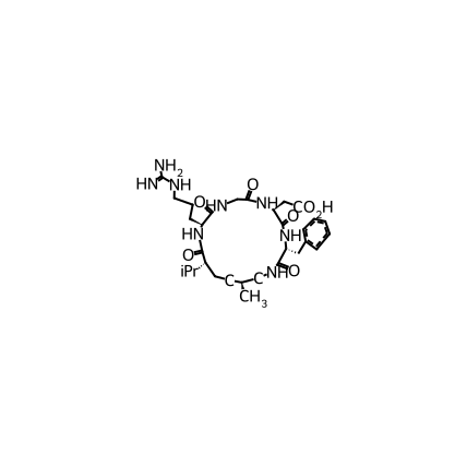 CC(C)[C@H]1CC[C@H](C)CNC(=O)[C@@H](Cc2ccccc2)NC(=O)[C@H](CC(=O)O)NC(=O)CNC(=O)[C@H](CCCNC(=N)N)NC1=O